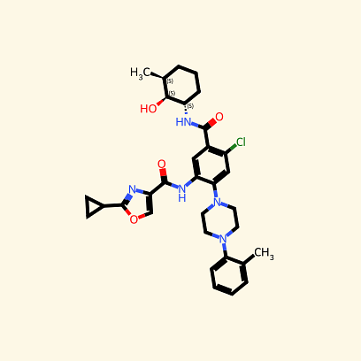 Cc1ccccc1N1CCN(c2cc(Cl)c(C(=O)N[C@H]3CCC[C@H](C)[C@@H]3O)cc2NC(=O)c2coc(C3CC3)n2)CC1